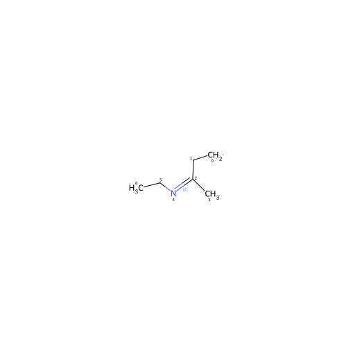 [CH2]C/C(C)=N\CC